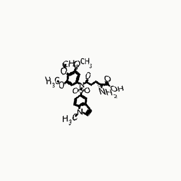 COc1cc(N(C(=O)CC[C@H](N)C(=O)O)S(=O)(=O)c2ccc3c(ccn3C)c2)cc(OC)c1OC